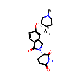 CCN1CC[C@@H](C)[C@H](Oc2ccc3c(c2)CN([C@H]2CCC(=O)NC2=O)C3=O)C1